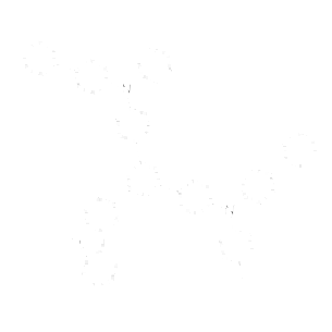 Cc1ccc(N(c2ccc(-c3ccccc3)cc2)c2ccc(-c3cc(-c4ccc(N(c5ccc(C)cc5)c5ccc(-c6ccccc6)cc5)cc4)cc(-c4ccc5oc6ccccc6c5c4)c3)cc2)cc1